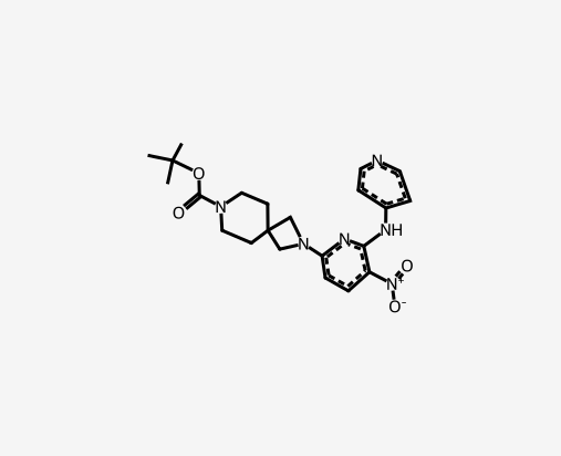 CC(C)(C)OC(=O)N1CCC2(CC1)CN(c1ccc([N+](=O)[O-])c(Nc3ccncc3)n1)C2